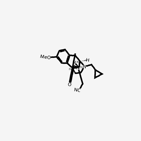 COc1ccc2c(c1)[C@]13CCN(CC4CC4)[C@H](C2)[C@@H]1CN(CC#N)C(=O)C3